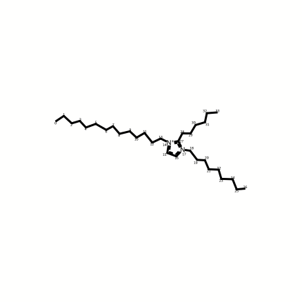 CCCCCCCCCCCCCC[n+]1ccn(CCCCCCCCC)c1CCCCCC